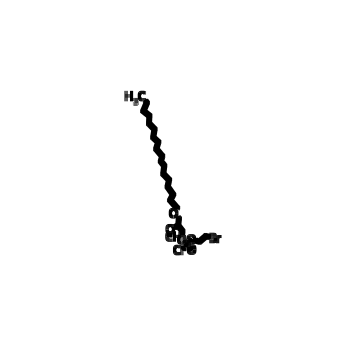 CCCCCCCCCCCCCCCCCCOCC(COP(=O)(Cl)OCCBr)OC